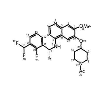 COc1cc2nccc(N[C@H](C)c3cccc(C(F)F)c3F)c2cc1OC1CCN(C(C)=O)CC1